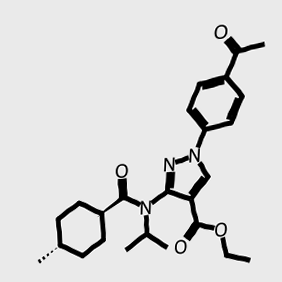 CCOC(=O)c1cn(-c2ccc(C(C)=O)cc2)nc1N(C(=O)[C@H]1CC[C@H](C)CC1)C(C)C